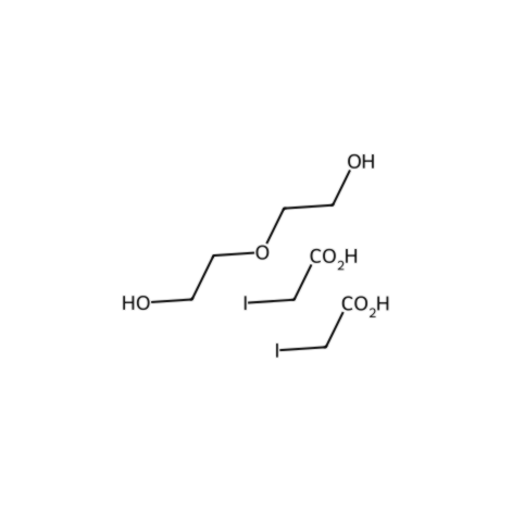 O=C(O)CI.O=C(O)CI.OCCOCCO